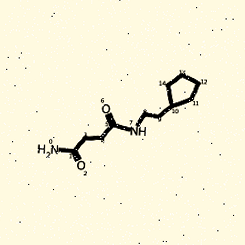 NC(=O)CCC(=O)NCCC1CCCC1